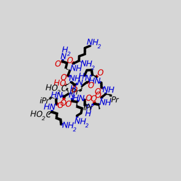 CC(C)C[C@H](NC(=O)CNC(=O)[C@@H]1CCCN1C(=O)[C@H](CC(C)C)NC(=O)[C@H](CO)NC(=O)[C@H](CCC(N)=O)NC(=O)[C@@H](N)CCCCN)C(=O)N[C@@H](C)C(=O)N[C@H](C(=O)N[C@@H](CCCCN)C(=O)N[C@@H](CC(=O)O)C(=O)N[C@@H](CC(C)C)C(=O)N[C@@H](CCCCN)C(=O)O)C(C)C